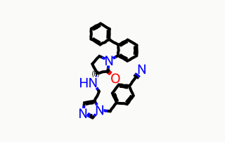 N#Cc1ccc(Cn2cncc2CN[C@@H]2CCN(c3ccccc3-c3ccccc3)C2=O)cc1